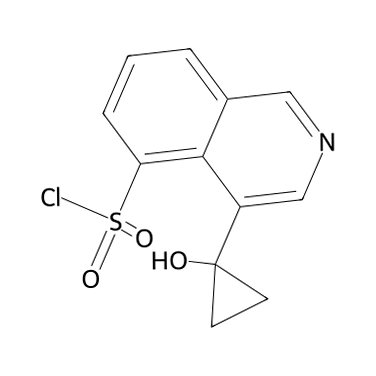 O=S(=O)(Cl)c1cccc2cncc(C3(O)CC3)c12